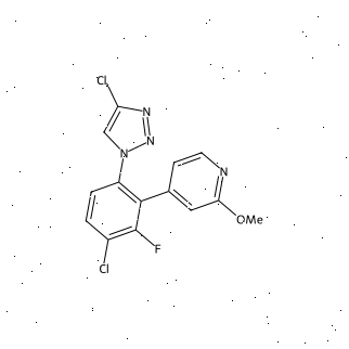 COc1cc(-c2c(-n3cc(Cl)nn3)ccc(Cl)c2F)ccn1